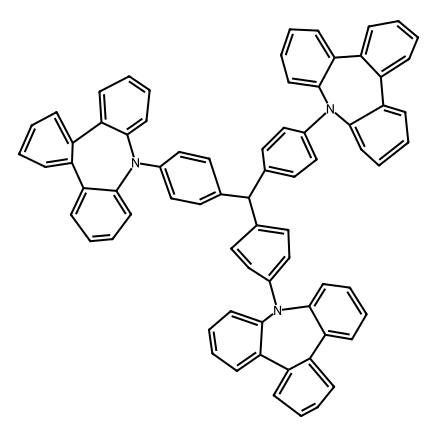 c1ccc2c(c1)-c1ccccc1N(c1ccc(C(c3ccc(N4c5ccccc5-c5ccccc5-c5ccccc54)cc3)c3ccc(N4c5ccccc5-c5ccccc5-c5ccccc54)cc3)cc1)c1ccccc1-2